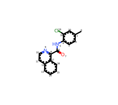 Cc1ccc(NC(=O)c2nccc3ccccc23)c(Cl)c1